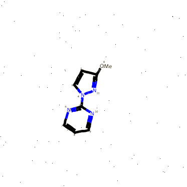 COc1ccn(-c2ncccn2)n1